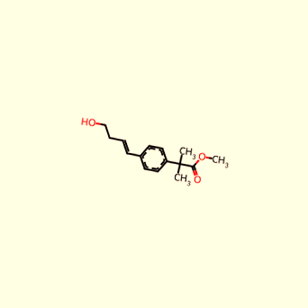 COC(=O)C(C)(C)c1ccc(/C=C/CCO)cc1